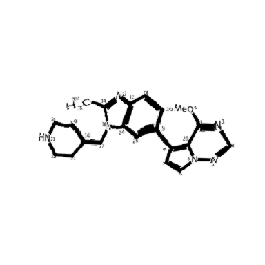 COc1ncnn2ccc(-c3ccc4nc(C)n(CC5CCNCC5)c4c3)c12